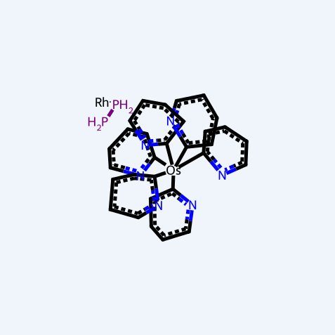 PP.[Rh].c1cc[c]([Os]([c]2ccccn2)([c]2ccccn2)([c]2ccccn2)([c]2ccccn2)[c]2ccccn2)nc1